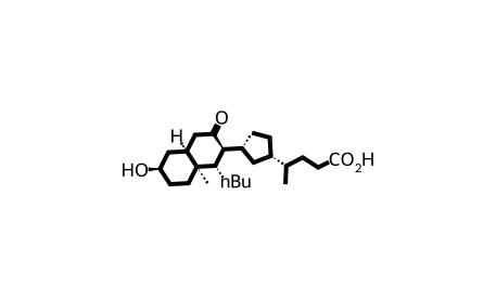 CCCC[C@H]1[C@H]([C@@H]2CC[C@H](C(C)CCC(=O)O)C2)C(=O)C[C@@H]2C[C@H](O)CC[C@@]21C